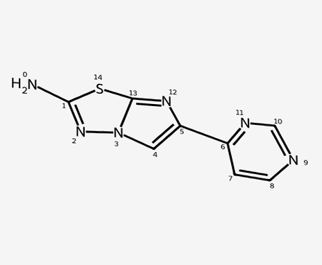 Nc1nn2cc(-c3ccncn3)nc2s1